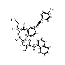 C[C@H](CO)N1C[C@H](C)[C@H](CN(C)C(=O)Nc2cccc3ccccc23)Oc2ncc(C#Cc3ccc(F)cc3)cc2C1=O